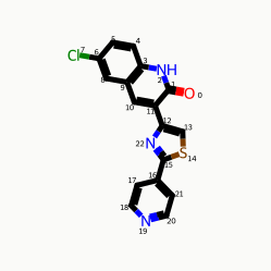 O=c1[nH]c2ccc(Cl)cc2cc1-c1csc(-c2ccncc2)n1